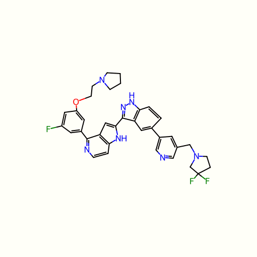 Fc1cc(OCCN2CCCC2)cc(-c2nccc3[nH]c(-c4n[nH]c5ccc(-c6cncc(CN7CCC(F)(F)C7)c6)cc45)cc23)c1